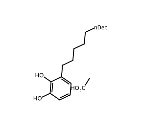 CC(=O)O.CCCCCCCCCCCCCCCc1cccc(O)c1O